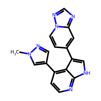 Cn1cc(-c2ccnc3[nH]cc(-c4ccn5ncnc5c4)c23)cn1